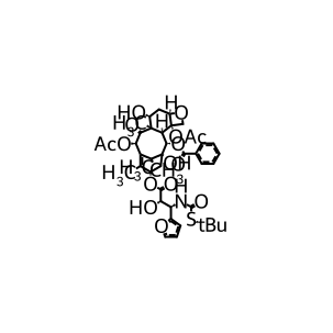 CC(=O)O[C@H]1C(=O)[C@@]2(C)[C@H]([C@H](OC(=O)c3ccccc3)[C@]3(O)C[C@H](OC(=O)[C@H](O)[C@@H](NC(=O)SC(C)(C)C)c4ccco4)C(C)=C1C3(C)C)[C@]1(OC(C)=O)CO[C@@H]1C[C@@H]2O